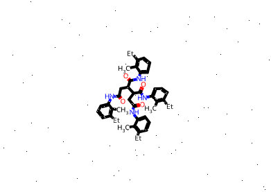 CCc1cccc(NC(=O)CC(C(=O)Nc2cccc(CC)c2C)C(CC(=O)Nc2cccc(CC)c2C)C(=O)Nc2cccc(CC)c2C)c1C